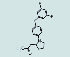 CC(=O)CC1CCCN1c1ccc(Cc2cc(F)cc(F)c2)cc1